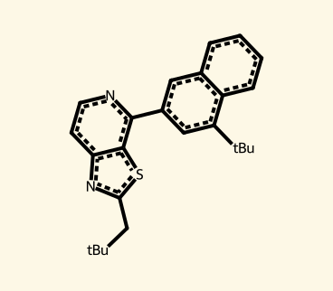 CC(C)(C)Cc1nc2ccnc(-c3cc(C(C)(C)C)c4ccccc4c3)c2s1